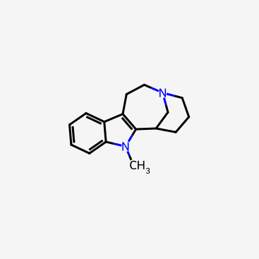 Cn1c2c(c3ccccc31)CCN1CCCC2C1